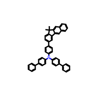 CC1(C)c2ccc(-c3ccc(N(c4ccc(-c5ccccc5)cc4)c4ccc(-c5ccccc5)cc4)cc3)cc2-c2cc3ccccc3cc21